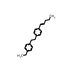 CCC/C=C/c1ccc(CCc2ccc(CC)cc2)cc1